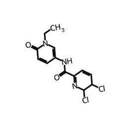 CCn1cc(NC(=O)C2=NC(Cl)C(Cl)C=C2)ccc1=O